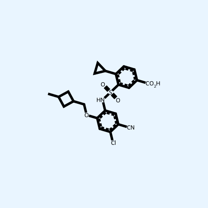 CC1CC(COc2cc(Cl)c(C#N)cc2NS(=O)(=O)c2cc(C(=O)O)ccc2C2CC2)C1